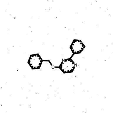 c1ccc(COc2ccnc(-c3ccccc3)n2)cc1